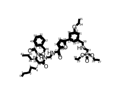 CCCCC[C@@H](C(=O)NCNC(=O)c1ccc(-c2cc(CNCP(=O)(OCC)OCC)cc(OCC)c2)o1)[C@@H](CCC)N(C=O)OCc1ccccc1